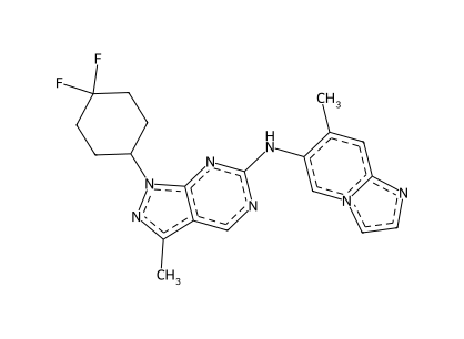 Cc1cc2nccn2cc1Nc1ncc2c(C)nn(C3CCC(F)(F)CC3)c2n1